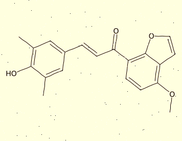 COc1ccc(C(=O)/C=C/c2cc(C)c(O)c(C)c2)c2occc12